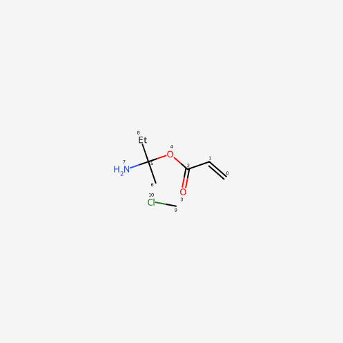 C=CC(=O)OC(C)(N)CC.CCl